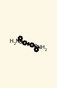 CC(C)(c1ccc(Oc2ccccc2N)cc1)c1ccc(Oc2ccccc2N)cc1